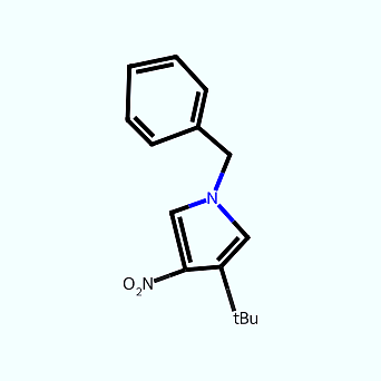 CC(C)(C)c1cn(Cc2ccccc2)cc1[N+](=O)[O-]